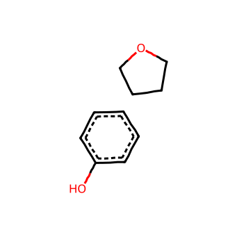 C1CCOC1.Oc1ccccc1